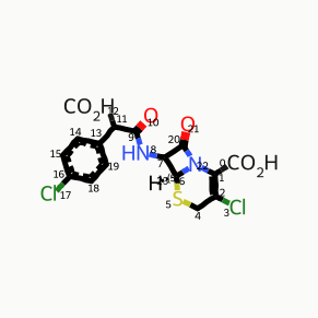 O=C(O)C1=C(Cl)CS[C@H]2C(NC(=O)C(C(=O)O)c3ccc(Cl)cc3)C(=O)N12